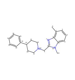 Cc1cccc2c1nc(CN1CCC(c3ccccc3)CC1)n2C